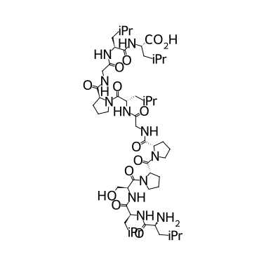 CC(C)C[C@H](NC(=O)[C@H](CC(C)C)NC(=O)CNC(=O)[C@@H]1CCCN1C(=O)[C@H](CC(C)C)NC(=O)CNC(=O)[C@@H]1CCCN1C(=O)[C@@H]1CCCN1C(=O)[C@H](CO)NC(=O)[C@H](CC(C)C)NC(=O)[C@@H](N)CC(C)C)C(=O)O